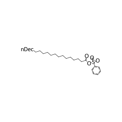 CCCCCCCCCCCCCCCCCCCCCCCC(=O)OS(=O)(=O)c1ccccc1